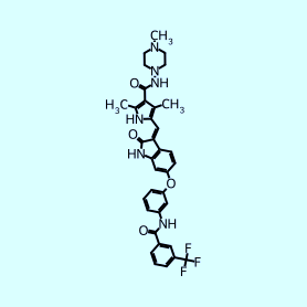 Cc1[nH]c(C=C2C(=O)Nc3cc(Oc4cccc(NC(=O)c5cccc(C(F)(F)F)c5)c4)ccc32)c(C)c1C(=O)NN1CCN(C)CC1